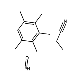 CCC#N.Cc1cc(C)c(C)c(C)c1C.O=P